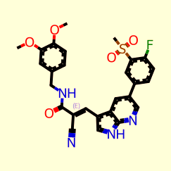 COc1ccc(CNC(=O)/C(C#N)=C/c2c[nH]c3ncc(-c4ccc(F)c(S(C)(=O)=O)c4)cc23)cc1OC